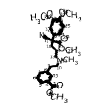 COC(=O)c1cccc(CCN(C)CCCC(C#N)(C(=O)OC)c2ccc(OC)c(OC)c2)c1